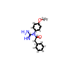 CC(C)Oc1ccc(N(C(=N)N)C(=O)Cc2ccccc2)cc1